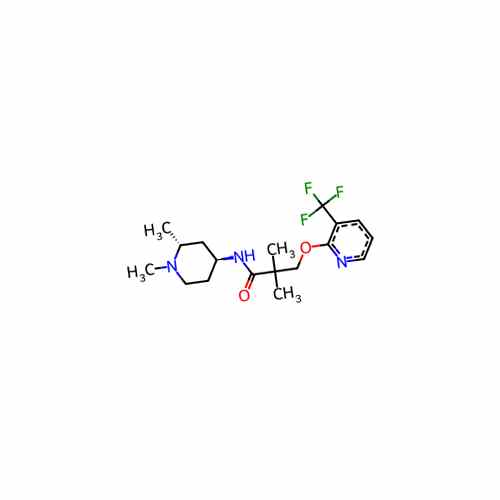 C[C@@H]1C[C@@H](NC(=O)C(C)(C)COc2ncccc2C(F)(F)F)CCN1C